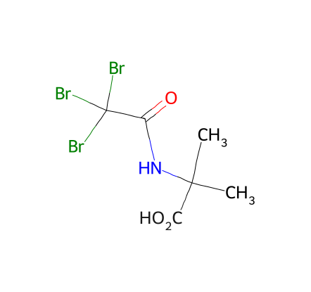 CC(C)(NC(=O)C(Br)(Br)Br)C(=O)O